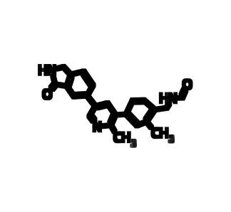 Cc1cc(-c2cc(-c3ccc4c(c3)C(=O)NC4)cnc2C)ccc1CNC=O